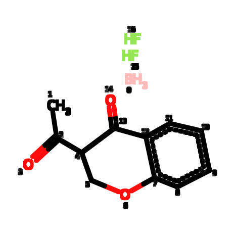 B.CC(=O)C1COc2ccccc2C1=O.F.F